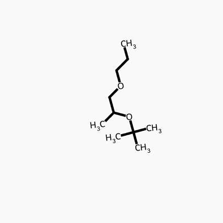 CCCOCC(C)OC(C)(C)C